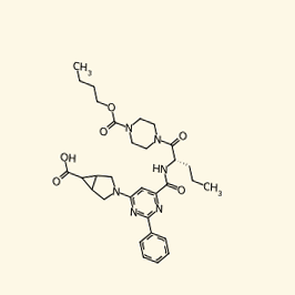 CCCCOC(=O)N1CCN(C(=O)[C@H](CCC)NC(=O)c2cc(N3CC4C(C3)C4C(=O)O)nc(-c3ccccc3)n2)CC1